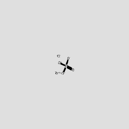 O=P([O-])([O-])[O-].[Cl-].[Zr+4]